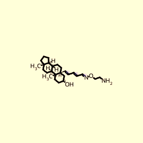 C[C@@]12CCC[C@H]1[C@@H]1CC[C@]3(/C=C/C=C/C=N/OCCN)C[C@@H](O)CC[C@]3(C)[C@H]1CC2